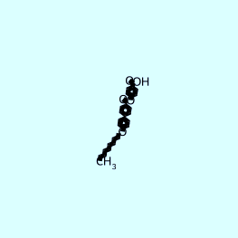 CCCCCCCCCCOc1ccc([C@H]2CC[C@H](C(=O)Oc3ccc(C(=O)O)cc3)CC2)cc1